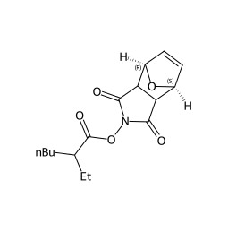 CCCCC(CC)C(=O)ON1C(=O)C2C(C1=O)[C@H]1C=C[C@@H]2O1